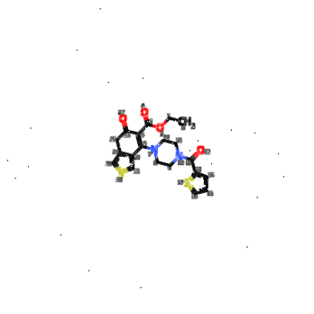 CCOC(=O)C1=C(N2CCN(C(=O)c3cccs3)CC2)c2cscc2CC1=O